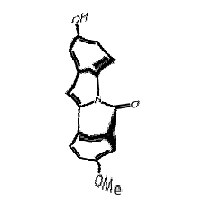 COc1ccc2c(c1)C(=O)n1c-2cc2cc(O)ccc21